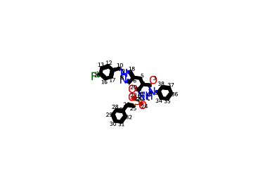 CCN(C(=O)C(Cc1cnn(Cc2ccc(F)cc2)c1)C(=O)NS(=O)(=O)C=Cc1ccccc1)c1ccccc1